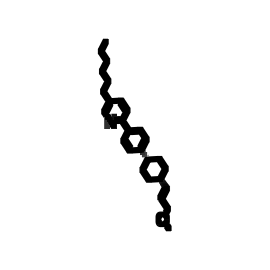 CCCCCCc1ccc(-c2ccc([C@H]3CC[C@H](C=CCOC)CC3)cc2)nc1